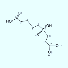 O=C(O)CCCCP(O)(=S)CCC(=O)O